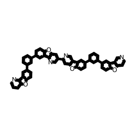 c1cc(-c2ccc3oc4ccncc4c3c2)cc(-c2ccc3oc4cc(-c5cnc6c(c5)oc5ccc(-c7cccc(-c8ccc9oc%10cccnc%10c9c8)c7)cc56)ncc4c3c2)c1